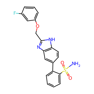 NS(=O)(=O)c1ccccc1-c1ccc2[nH]c(COc3cccc(F)c3)nc2c1